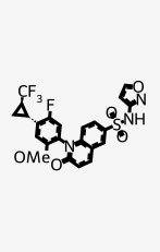 COc1cc([C@@H]2C[C@H]2C(F)(F)F)c(F)cc1-n1c(=O)ccc2cc(S(=O)(=O)Nc3ccon3)ccc21